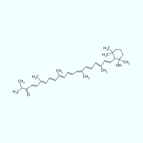 CC(/C=C/C=C(C)/C=C/C(=O)C(C)C)=C\C=C\C=C(C)\C=C\C=C(C)\C=C\C1C(C)(C)CCCC1(C)O